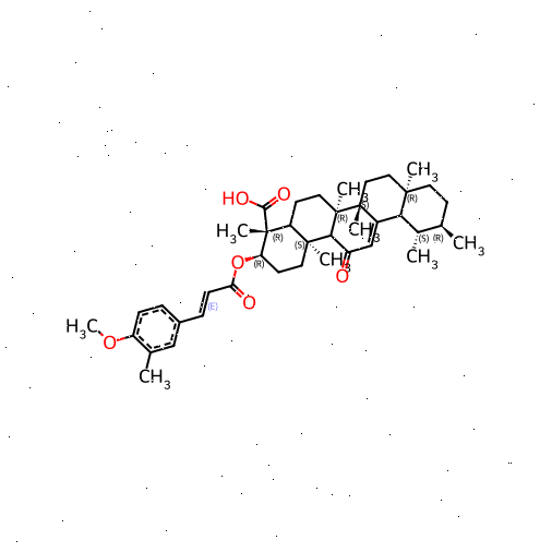 COc1ccc(/C=C/C(=O)O[C@@H]2CC[C@@]3(C)C(CC[C@]4(C)C3C(=O)C=C3C5[C@@H](C)[C@H](C)CC[C@]5(C)CC[C@]34C)[C@@]2(C)C(=O)O)cc1C